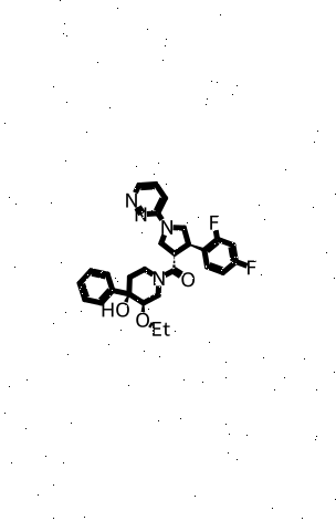 CCO[C@@H]1CN(C(=O)[C@@H]2CN(c3cccnn3)C[C@H]2c2ccc(F)cc2F)CC[C@@]1(O)c1ccccc1